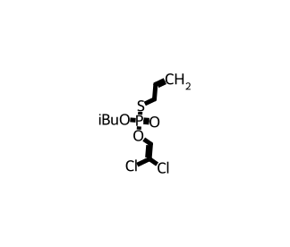 C=CCSP(=O)(OC=C(Cl)Cl)OCC(C)C